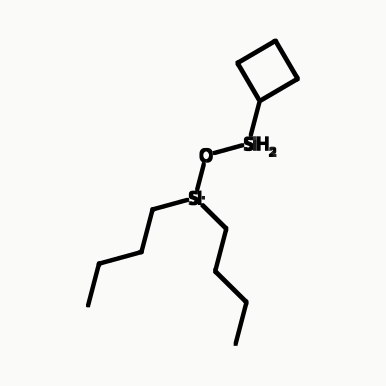 CCCC[Si](CCCC)O[SiH2]C1CCC1